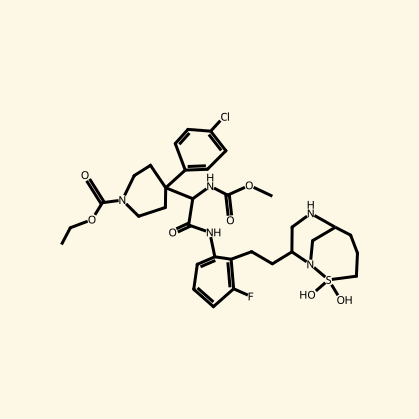 CCOC(=O)N1CCC(c2ccc(Cl)cc2)(C(NC(=O)OC)C(=O)Nc2cccc(F)c2CCC2CNC3CCCS(O)(O)N2C3)CC1